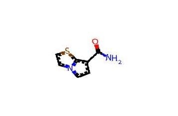 NC(=O)c1ccn2ccsc12